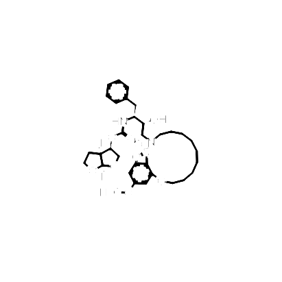 COc1ccc2c(c1)OCCCCCCCCCN(C[C@@H](O)[C@H](Cc1ccccc1)NC(=O)O[C@H]1CO[C@H]3OCC[C@H]31)S2(=O)=O